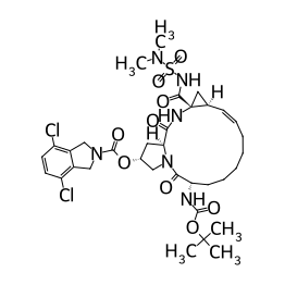 CN(C)S(=O)(=O)NC(=O)[C@@]12C[C@H]1/C=C\CCCCC[C@H](NC(=O)OC(C)(C)C)C(=O)N1C[C@H](OC(=O)N3Cc4c(Cl)ccc(Cl)c4C3)C[C@H]1C(=O)N2